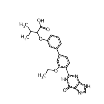 CCOc1cc(-c2cccc(OC(C(=O)O)C(C)C)c2)ccc1-c1nc2[nH]cnc2c(=O)[nH]1